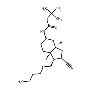 CCCCOC[C@@H]1C(C#N)C[C@@H]2CC(NC(=O)OC(C)(C)C)CC[C@H]21